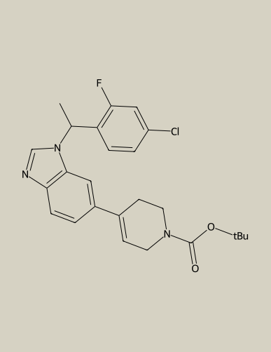 CC(c1ccc(Cl)cc1F)n1cnc2ccc(C3=CCN(C(=O)OC(C)(C)C)CC3)cc21